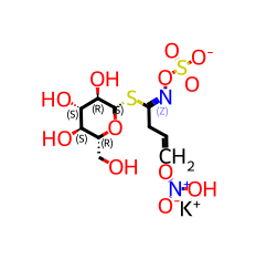 C=CC/C(=N/OS(=O)(=O)[O-])S[C@@H]1O[C@H](CO)[C@@H](O)[C@H](O)[C@H]1O.O=[N+]([O-])O.[K+]